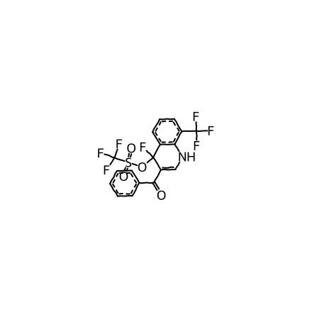 O=C(C1=CNc2c(C(F)(F)F)cccc2C1(F)OS(=O)(=O)C(F)(F)F)c1ccccc1